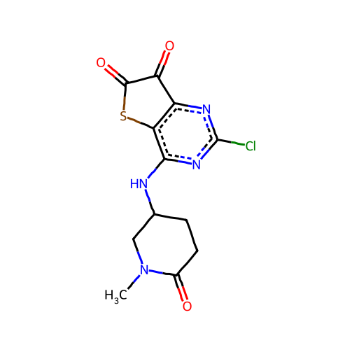 CN1CC(Nc2nc(Cl)nc3c2SC(=O)C3=O)CCC1=O